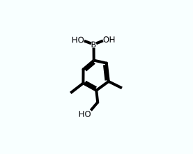 Cc1cc(B(O)O)cc(C)c1CO